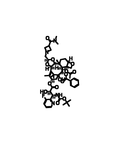 CC(=O)O[C@@]12CO[C@@H]1CC[C@@]1(C)[C@@H]3O[C@H](CN4CC(C(=O)N(C)C)C4)O[C@@H]3C3=C(C)[C@@H](OC(=O)[C@H](O)[C@@H](NC(=O)OC(C)(C)C)c4ncccc4F)C[C@@](O)([C@@H](OC(=O)c4ccccc4)[C@@H]12)C3(C)C